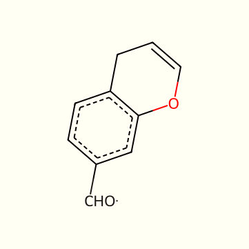 O=[C]c1ccc2c(c1)OC=CC2